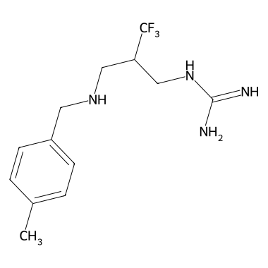 Cc1ccc(CNCC(CNC(=N)N)C(F)(F)F)cc1